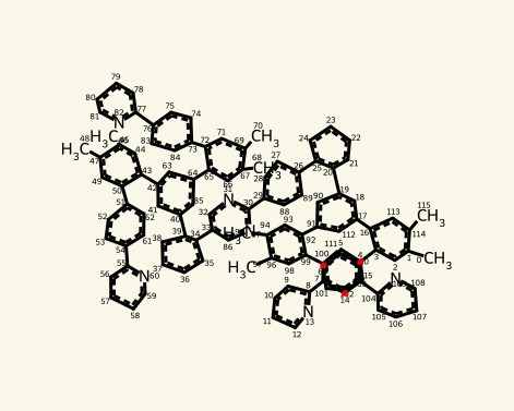 Cc1cc(-c2ccc(-c3ccccn3)cc2)c(-c2cc(-c3ccccc3-c3ccc(-c4ncc(-c5ccccc5-c5cc(-c6cc(C)c(C)cc6-c6ccc(-c7ccccn7)cc6)cc(-c6cc(C)c(C)cc6-c6ccc(-c7ccccn7)cc6)c5)cn4)cc3)cc(-c3cc(C)c(C)cc3-c3ccc(-c4ccccn4)cc3)c2)cc1C